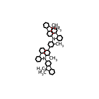 Cc1cc(-c2ccc(N(c3ccc4c(c3)C(C)(C)c3ccccc3-4)c3ccccc3-c3ccccc3)c(C)c2)ccc1N(c1ccc2c(c1)C(C)(C)c1ccccc1-2)c1ccccc1-c1ccccc1